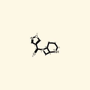 O=C(c1cnoc1)N1CC2NCCCC21